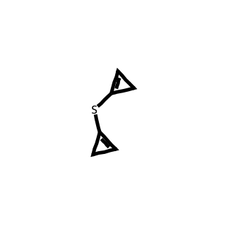 C1=C(SC2=CC2)C1